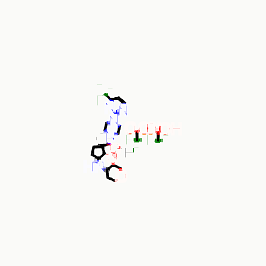 COC1COCC[C@H]1N[C@@H]1CC[C@](C)(C(=O)N2CCN(c3nccc(C(F)(F)F)n3)CC2)C1.O=C(O)C(F)(F)F.O=C(O)C(F)(F)F